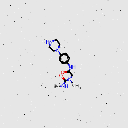 CC(C)NC(=O)N(C)CC(=O)Nc1ccc(N2CCNCC2)cc1